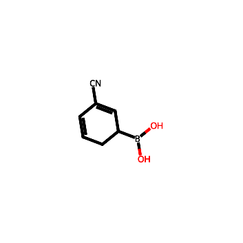 N#CC1=CC(B(O)O)CC=C1